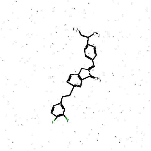 C=C1/C(=C/c2ccc(C(C)CC)cc2)Cc2ccc(CCc3ccc(F)c(F)c3)cc21